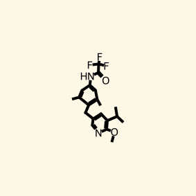 COc1ncc(Cc2c(C)cc(NC(=O)C(F)(F)F)cc2C)cc1C(C)C